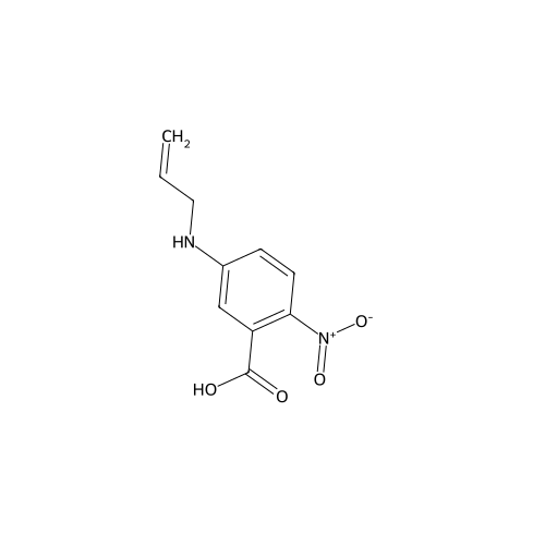 C=CCNc1ccc([N+](=O)[O-])c(C(=O)O)c1